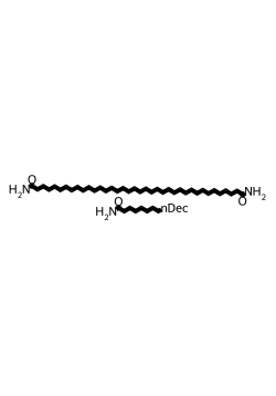 CCCCCCCCCCCCCCCCCC(N)=O.NC(=O)CCCCCCCCCCCCCCCCCCCCCCCCCCCCCCCCCCCCC(N)=O